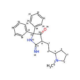 CN1CCCC1CCC1C(=N)NC(c2ccccc2)(c2ccccc2)C1=O